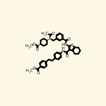 COC(=O)c1ccc(CCc2ccc(NC(=O)c3c(NC(=O)c4cccc(CN(C(C)=O)[C@H]5CC[C@H](C(=O)OC)CC5)c4)sc4c3CCCC4)cc2)cc1